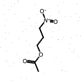 CC(=O)OCCC[N+](=O)[O-]